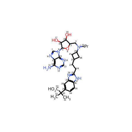 CC(C)N(CC1OC(n2cnc3c(N)ncnc32)C(O)C1O)C1CC(CCc2nc3cc(C(C)(C)C(=O)O)ccc3[nH]2)C1